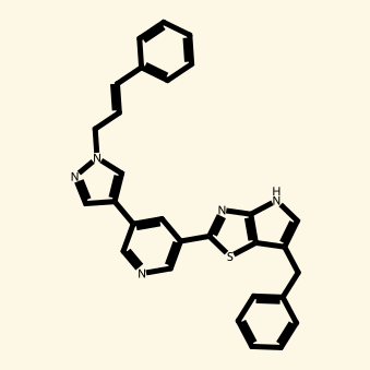 C(=Cc1ccccc1)Cn1cc(-c2cncc(-c3nc4[nH]cc(Cc5ccccc5)c4s3)c2)cn1